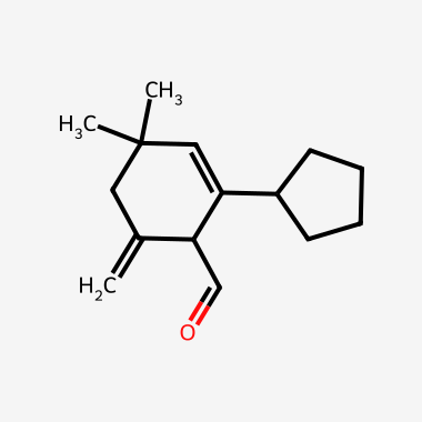 C=C1CC(C)(C)C=C(C2CCCC2)C1C=O